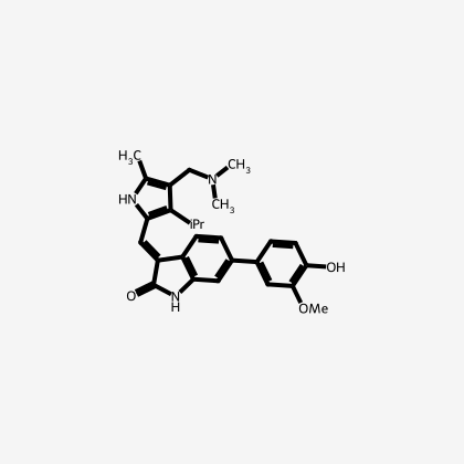 COc1cc(-c2ccc3c(c2)NC(=O)C3=Cc2[nH]c(C)c(CN(C)C)c2C(C)C)ccc1O